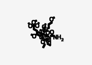 CCO[Si](OCC)(OCC)C(CCC(CCC(OC)(OC)OC)OC)(NC(N)=O)O[Si](CCCOC)(OC)OC